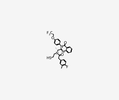 Cc1cc(CC(=O)N(CCS)[C@H](C)c2nc3ccccc3c(=O)n2-c2ccc(OCC(F)(F)F)cc2)ccc1F